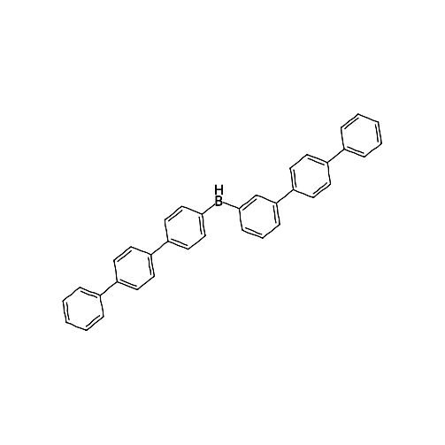 B(c1ccc(-c2ccc(-c3ccccc3)cc2)cc1)c1cccc(-c2ccc(-c3ccccc3)cc2)c1